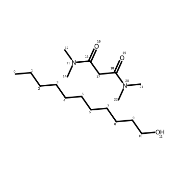 CCCCCCCCCCCO.CN(C)C(=O)CC(=O)N(C)C